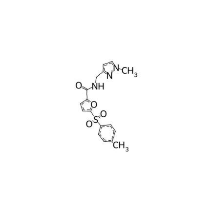 Cc1ccc(S(=O)(=O)c2ccc(C(=O)NCc3ccn(C)n3)o2)cc1